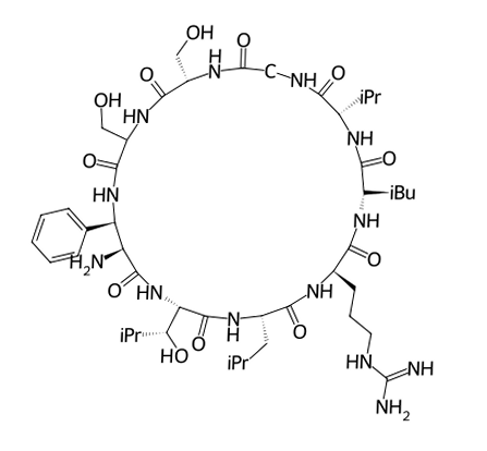 CC[C@H](C)[C@@H]1NC(=O)[C@@H](CCCNC(=N)N)NC(=O)[C@H](CC(C)C)NC(=O)[C@H]([C@H](O)C(C)C)NC(=O)[C@@H](N)[C@@H](c2ccccc2)NC(=O)C(CO)NC(=O)[C@H](CO)NC(=O)CNC(=O)[C@H](C(C)C)NC1=O